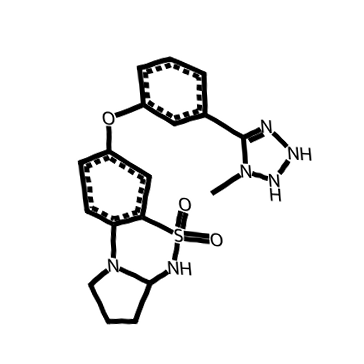 CN1NNN=C1c1cccc(Oc2ccc3c(c2)S(=O)(=O)NC2CCCN32)c1